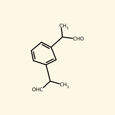 CC(C=O)c1cccc(C(C)C=O)c1